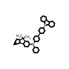 CC1(C)c2cc(N(c3ccccc3)c3ccc(-c4ccc(-n5c6ccccc6c6ccccc65)cc4)cc3)ccc2-c2c3cc-3cc21